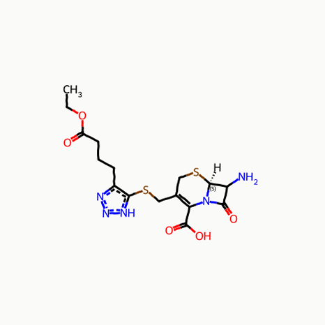 CCOC(=O)CCCc1nn[nH]c1SCC1=C(C(=O)O)N2C(=O)C(N)[C@@H]2SC1